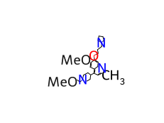 COCCN1CCC(c2cc(C)nc3cc(OCCCN4CCCC4)c(OC)cc23)CC1